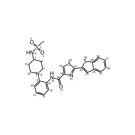 CS(=O)(=O)NC1CCN(c2ccccc2NC(=O)c2csc(-c3cc4ccccc4s3)n2)CC1